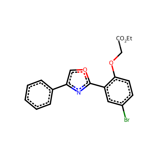 CCOC(=O)COc1ccc(Br)cc1-c1nc(-c2ccccc2)co1